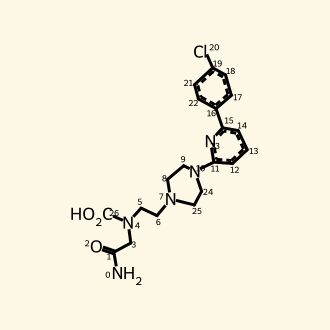 NC(=O)CN(CCN1CCN(c2cccc(-c3ccc(Cl)cc3)n2)CC1)C(=O)O